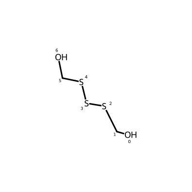 OCSSSCO